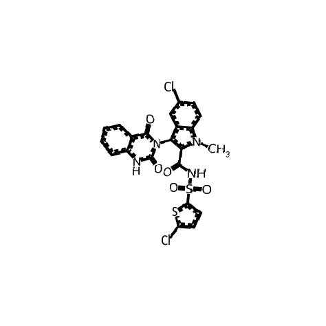 Cn1c(C(=O)NS(=O)(=O)c2ccc(Cl)s2)c(-n2c(=O)[nH]c3ccccc3c2=O)c2cc(Cl)ccc21